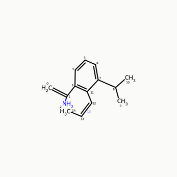 C=C(N)c1cccc(C(C)C)c1/C=C\C